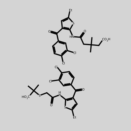 CCc1cc(C(=O)c2ccc(Cl)c(Cl)c2)c(NC(=O)CC(C)(C)CC(=O)O)s1.CCc1cc(C(=O)c2ccc(Cl)c(Cl)c2)c(NC(=O)CSC(C)(C)C(=O)O)s1